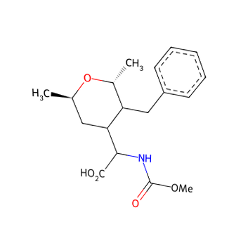 COC(=O)NC(C(=O)O)C1C[C@@H](C)O[C@H](C)C1Cc1ccccc1